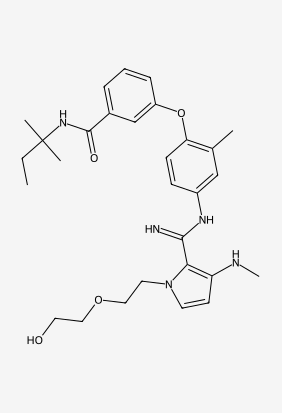 CCC(C)(C)NC(=O)c1cccc(Oc2ccc(NC(=N)c3c(NC)ccn3CCOCCO)cc2C)c1